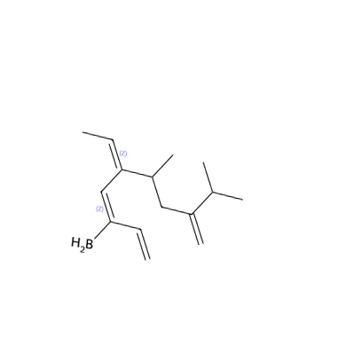 B/C(C=C)=C/C(=C\C)C(C)CC(=C)C(C)C